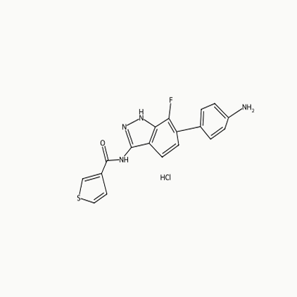 Cl.Nc1ccc(-c2ccc3c(NC(=O)c4ccsc4)n[nH]c3c2F)cc1